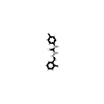 Cc1ccc(NC(=S)NN=Cc2ccccc2C)cc1